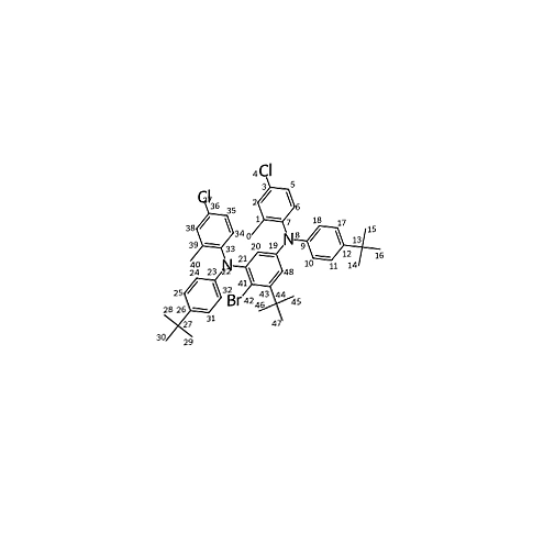 Cc1cc(Cl)ccc1N(c1ccc(C(C)(C)C)cc1)c1cc(N(c2ccc(C(C)(C)C)cc2)c2ccc(Cl)cc2C)c(Br)c(C(C)(C)C)c1